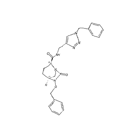 O=C(NCc1cn(Cc2ccccc2)nn1)[C@@H]1CC[C@H]2CN1C(=O)N2OCc1ccccc1